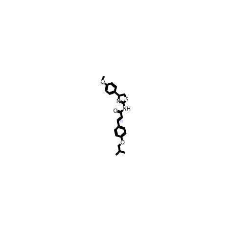 COc1ccc(C2CSC(NC(=O)/C=C/c3ccc(OCC(C)C)cc3)=N2)cc1